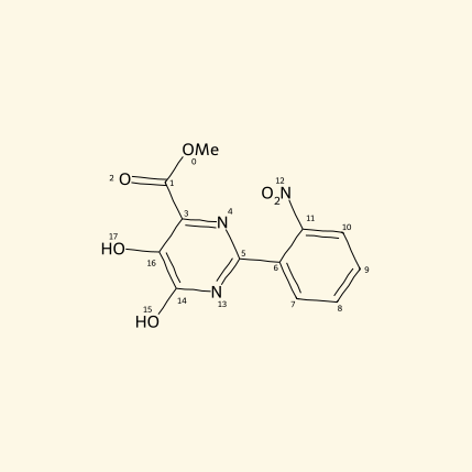 COC(=O)c1nc(-c2ccccc2[N+](=O)[O-])nc(O)c1O